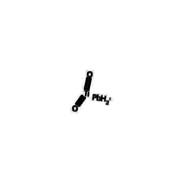 [O]=[Ti]=[O].[PbH2]